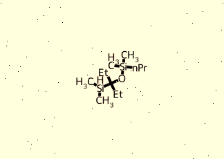 CCC[Si](C)(C)OC(CC)(CC)[SiH](C)C